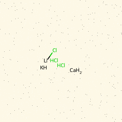 Cl.Cl.[CaH2].[KH].[Li][Cl]